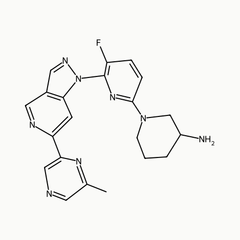 Cc1cncc(-c2cc3c(cn2)cnn3-c2nc(N3CCCC(N)C3)ccc2F)n1